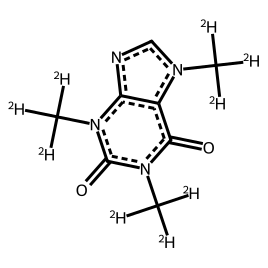 [2H]C([2H])([2H])n1c(=O)c2c(ncn2C([2H])([2H])[2H])n(C([2H])([2H])[2H])c1=O